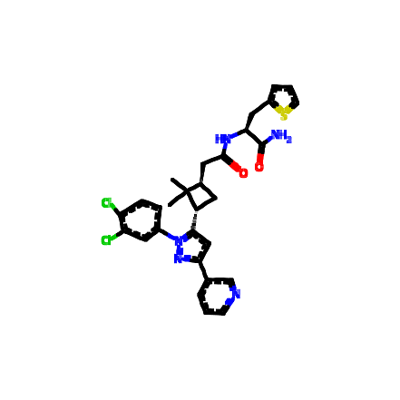 CC1(C)[C@@H](CC(=O)N[C@@H](Cc2cccs2)C(N)=O)C[C@@H]1c1cc(-c2cccnc2)nn1-c1ccc(Cl)c(Cl)c1